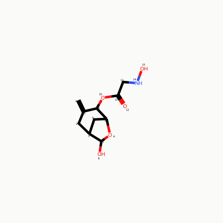 C=C1CC2CC(OC2O)C1OC(=O)CNO